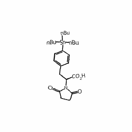 CCC[CH2][Sn]([CH2]CCC)([CH2]CCC)[c]1ccc(CC(C(=O)O)N2C(=O)CCC2=O)cc1